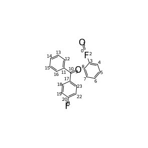 C=O.Fc1ccccc1.O=C(c1ccccc1)c1ccc(F)cc1